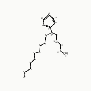 CCCCCCCCCCC(CSCCO)c1ccccc1